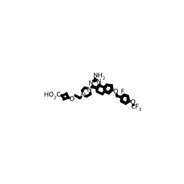 Nc1nc2c(c(N3CCN(CCOC4CC(C(=O)O)C4)CC3)n1)CCc1cc(OCc3ccc(OC(F)(F)F)cc3F)ccc1-2